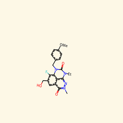 CCN1C(=O)N(Cc2ccc(OC)cc2)c2c(F)c(CO)cc3c(=O)n(C)nc1c23